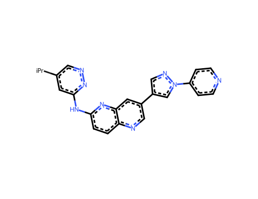 CC(C)c1cnnc(Nc2ccc3ncc(-c4cnn(-c5ccncc5)c4)cc3n2)c1